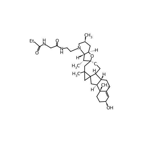 CCC(=O)NCC(=O)NCCN1C[C@@H](C)C[C@H]2O[C@]3(CC[C@H]4[C@@H]5CCC6=C[C@@H](O)CC[C@]6(C)[C@H]5CC45CC5(C)C3)[C@H](C)[C@@H]21